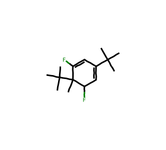 CC(C)(C)C1=CC(F)C(C)(C(C)(C)C)C(F)=C1